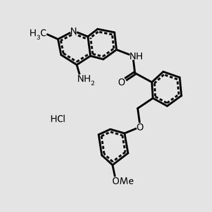 COc1cccc(OCc2ccccc2C(=O)Nc2ccc3nc(C)cc(N)c3c2)c1.Cl